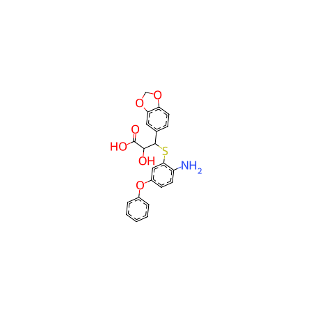 Nc1ccc(Oc2ccccc2)cc1SC(c1ccc2c(c1)OCO2)C(O)C(=O)O